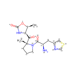 C[C@@H]1OC(=O)N[C@@H]1C(=O)[C@@]1(C)CCCN1C(=O)[C@H](N)Cc1cscn1